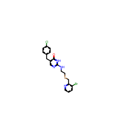 O=c1[nH]c(NCCSCc2ncccc2Br)ncc1Cc1ccc(Cl)cc1